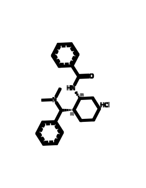 CN(C)C(c1ccccc1)[C@H]1CCCC[C@H]1NC(=O)c1ccccc1.Cl